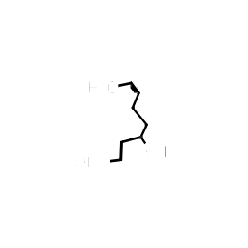 C/C=C\CCC(C)CCC=O